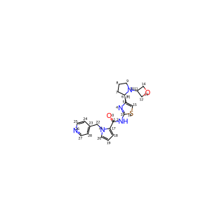 O=C(Nc1nc([C@H]2CCCN2C2COC2)cs1)c1cccn1Cc1ccncc1